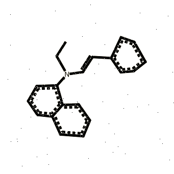 CCN(C=Cc1ccccc1)c1cccc2ccccc12